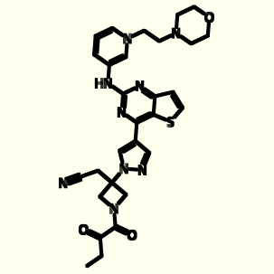 CCC(=O)C(=O)N1CC(CC#N)(n2cc(-c3nc(NC4=CN(CCN5CCOCC5)C=C=C4)nc4ccsc34)cn2)C1